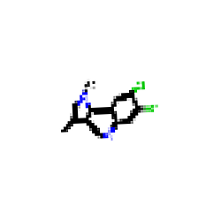 CC(=O)n1cc(C)c2cnc3cc(Cl)c(Cl)cc3c21